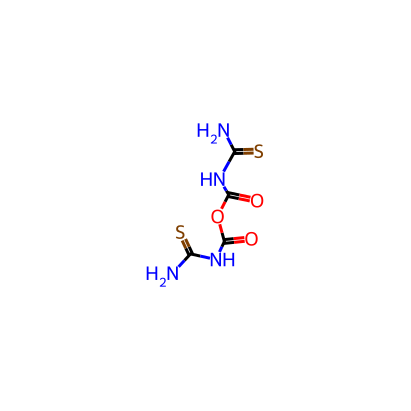 NC(=S)NC(=O)OC(=O)NC(N)=S